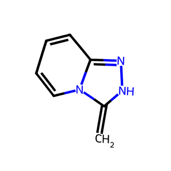 C=C1NN=C2C=CC=CN12